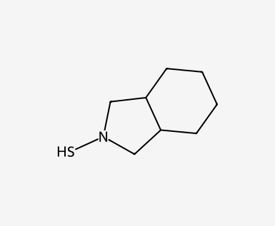 SN1CC2CCCCC2C1